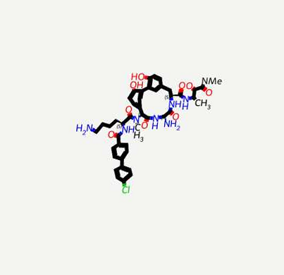 CNC(=O)C(=O)C(C)NC(=O)[C@@H]1Cc2ccc(O)c(c2)-c2cc(ccc2O)[C@H](N(C)C(=O)[C@H](CCCCN)NC(=O)c2ccc(-c3ccc(Cl)cc3)cc2)C(=O)N[C@@H](N)C(=O)N1